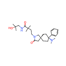 CN(C)[C@]1(c2ccccc2)CC[C@@]2(CC1)CC(=O)N(CCC(C)(C)C(=O)NCC(C)(C)O)C2